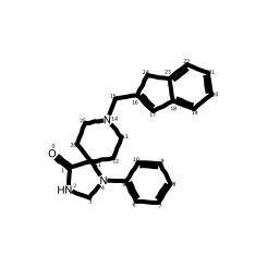 O=C1NCN(c2ccccc2)C12CCN(CC1=Cc3ccccc3C1)CC2